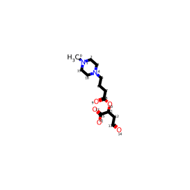 CN1CCN(CCCC(=O)OC(C[C]=O)C([O])=O)CC1